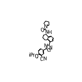 CC(C)Oc1ccc(-c2nc(-c3cccc4c3CCC[C@H]4NC(=O)N3CCCC3)no2)cc1C#N